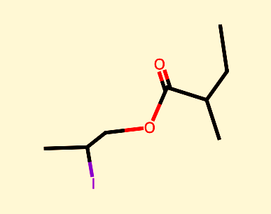 CCC(C)C(=O)OCC(C)I